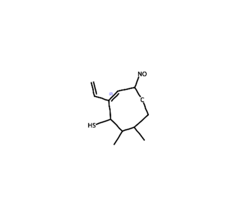 C=C/C1=C/C(N=O)CCC(C)C(C)C1S